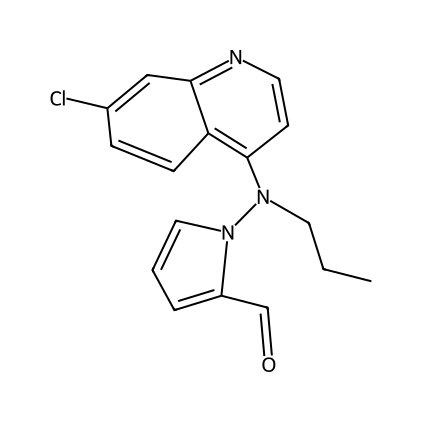 CCCN(c1ccnc2cc(Cl)ccc12)n1cccc1C=O